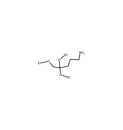 CCOCC(CCCN)(OCC)OCC